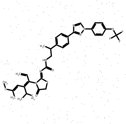 C=C/C(=C(\C=C(/C)OC)C(C)C)N1C(=O)CS/C1=N\C(=O)NCC(C)c1ccc(-c2ncn(-c3ccc(OC(F)(F)F)cc3)n2)cc1